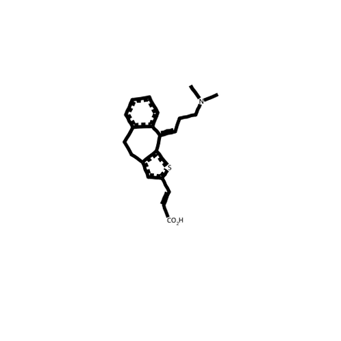 CN(C)CC/C=C1\c2ccccc2CCc2cc(/C=C/C(=O)O)sc21